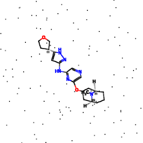 CN1[C@@H]2CCC[C@H]1CC(Oc1cncc(Nc3cc([C@@H]4CCOC4)[nH]n3)n1)C2